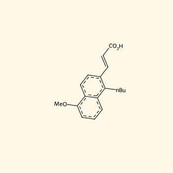 CCCCc1c(C=CC(=O)O)ccc2c(OC)cccc12